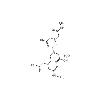 CNC(=O)CN(CCN(CCN(CC(=O)O)CC(=O)NC)CC(=O)O)CC(=O)O.O